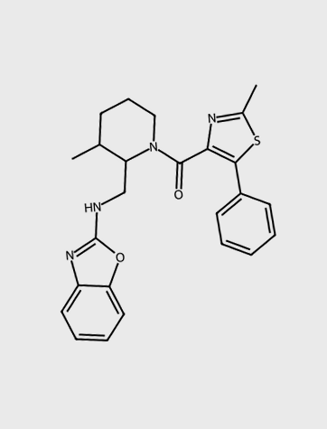 Cc1nc(C(=O)N2CCCC(C)C2CNc2nc3ccccc3o2)c(-c2ccccc2)s1